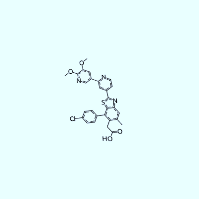 COc1cc(-c2cc(-c3nc4cc(C)c(CC(=O)O)c(-c5ccc(Cl)cc5)c4s3)ccn2)cnc1OC